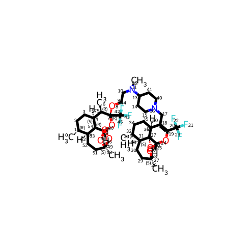 C[C@@H]1CC[C@H]2[C@@H](C)[C@](OCCN(C)C3CCN(CC4=C(C(F)(F)F)O[C@@H]5O[C@]6(C)CC[C@H]7[C@H](C)CC[C@@H]4[C@@]57OO6)CC3)(C(F)(F)F)O[C@@H]3O[C@]4(C)CC[C@@H]1[C@]32OO4